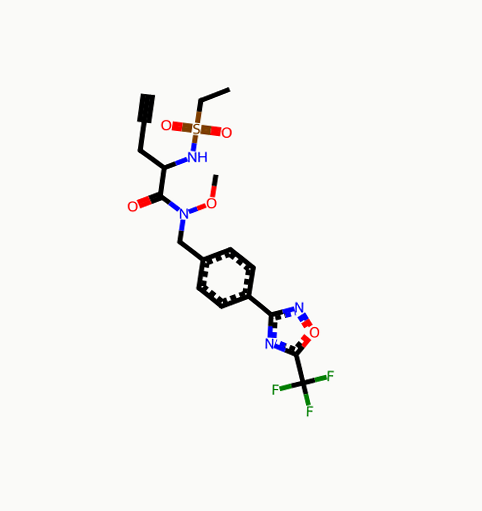 C#CCC(NS(=O)(=O)CC)C(=O)N(Cc1ccc(-c2noc(C(F)(F)F)n2)cc1)OC